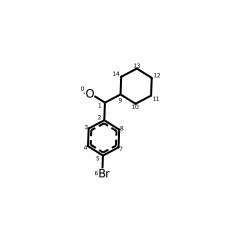 [O]C(c1ccc(Br)cc1)C1CCCCC1